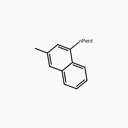 [CH2]CCCCc1cc(C)cc2ccccc12